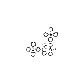 C1=CC[C]([Zr+2][C]2=CC=CC2)=C1.c1ccc(CC2CCCO2)cc1.c1ccc([B-](c2ccccc2)(c2ccccc2)c2ccccc2)cc1.c1ccc([B-](c2ccccc2)(c2ccccc2)c2ccccc2)cc1